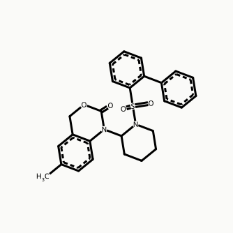 Cc1ccc2c(c1)COC(=O)N2C1CCCCN1S(=O)(=O)c1ccccc1-c1ccccc1